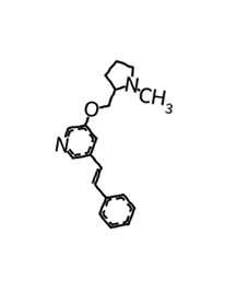 CN1CCCC1COc1cncc(/C=C/c2ccccc2)c1